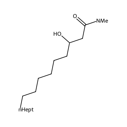 CCCCCCCCCCCCCC(O)CC(=O)NC